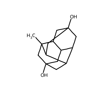 CC12CC3(O)CC4C5CC(O)(CC41)CC2C5C3